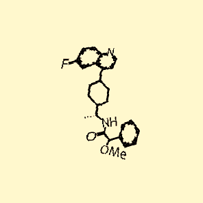 COC(C(=O)N[C@H](C)C1CCC(c2ccnc3ccc(F)cc23)CC1)c1ccccc1